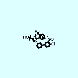 CC(C)(O)c1cn(-c2cccc(-c3ccc(Cl)c(C(N)=O)c3)c2)c(-c2ccccc2C(F)(F)F)n1